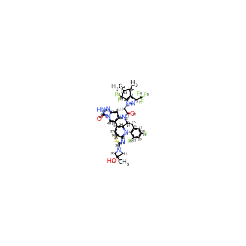 C[C@@H]1c2c(C(F)(F)F)nn(CC(=O)N[C@@H](Cc3cc(F)cc(F)c3)c3nc4nc(N5CC(C)(O)C5)sc4cc3-c3ccc4n[nH]c(=O)n4c3)c2C(F)(F)[C@@H]1C